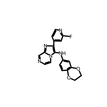 Fc1cc(-c2nc3cnccn3c2Nc2ccc3c(c2)OCCO3)ccn1